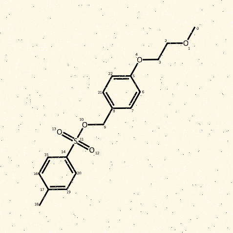 COCCOc1ccc(COS(=O)(=O)c2ccc(C)cc2)cc1